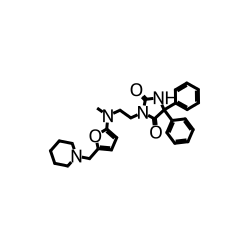 CN(CCN1C(=O)NC(c2ccccc2)(c2ccccc2)C1=O)c1ccc(CN2CCCCC2)o1